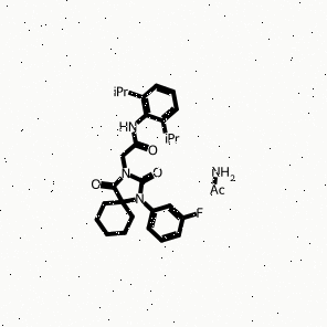 CC(C)c1cccc(C(C)C)c1NC(=O)CN1C(=O)N(c2cccc(F)c2)C2(CCCCC2)C1=O.CC(N)=O